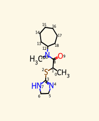 CC(SC1=NCCN1)C(=O)N(C)C1CCCCCC1